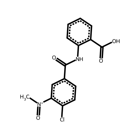 C[N+](=O)c1cc(C(=O)Nc2ccccc2C(=O)O)ccc1Cl